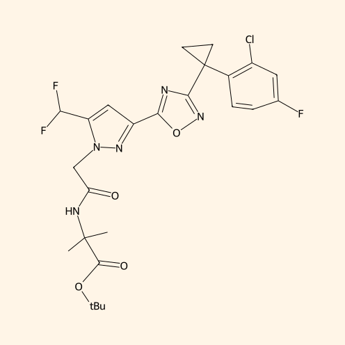 CC(C)(C)OC(=O)C(C)(C)NC(=O)Cn1nc(-c2nc(C3(c4ccc(F)cc4Cl)CC3)no2)cc1C(F)F